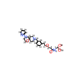 COC(CN(C)C(=O)CCOCCc1cccc(CN2CCC3(CC2)CN(c2ccccn2)CCO3)c1)OC